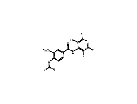 COc1cc(C(=O)Nc2c(F)c(F)nc(F)c2Cl)ccc1OC(F)F